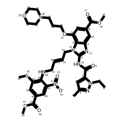 CCn1nc(C)cc1C(=O)Nc1nc2cc(C(=O)OC)cc(OCCCN3CCOCC3)c2n1C/C=C/CNc1c(SC)cc(C(=O)OC)cc1[N+](=O)[O-]